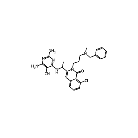 CC(Nc1nc(N)nc(N)c1C#N)c1nc2cccc(Cl)c2c(=O)n1CCCN(C)Cc1ccccc1